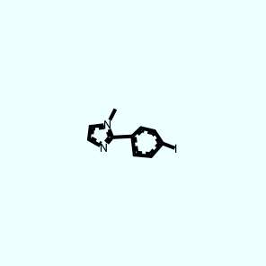 Cn1ccnc1-c1ccc(I)cc1